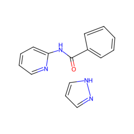 O=C(Nc1ccccn1)c1ccccc1.c1cn[nH]c1